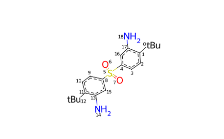 CC(C)(C)c1ccc(S(=O)(=O)c2ccc(C(C)(C)C)c(N)c2)cc1N